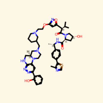 Cc1ncsc1-c1ccc([C@H](C)NC(=O)[C@@H]2C[C@@H](O)CN2C(=O)[C@@H](c2cc(OCCN3CCCC(CN4CCN5c6cc(-c7ccccc7O)nnc6NC[C@H]5C4)C3)no2)C(C)C)cc1